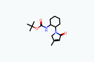 CC1=CC(=O)N(C2CCCCC2NC(=O)OC(C)(C)C)C1